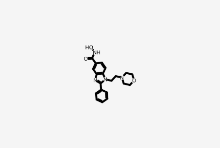 O=C(NO)c1ccc2c(c1)nc(-c1ccccc1)n2CCN1CCOCC1